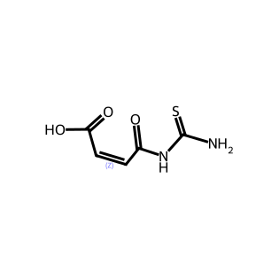 NC(=S)NC(=O)/C=C\C(=O)O